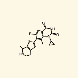 Cc1c(-c2cc3c(s2)C(C)NCC3)c(F)cc2c(=O)[nH]c(=O)n(C3CC3)c12